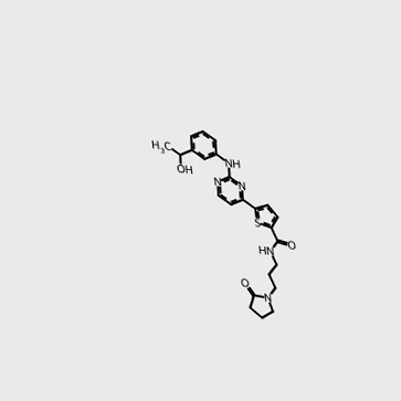 CC(O)c1cccc(Nc2nccc(-c3ccc(C(=O)NCCCN4CCCC4=O)s3)n2)c1